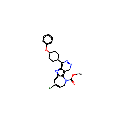 CC(C)(C)OC(=O)N1CC=C(Cl)C=c2[nH]c3c(c21)CN=NC=3C1CCC(Oc2ccccc2)CC1